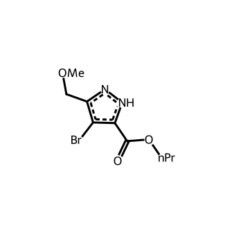 CCCOC(=O)c1[nH]nc(COC)c1Br